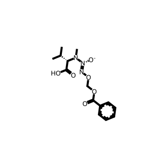 CC(C)[C@@H](C(=O)O)N(C)/[N+]([O-])=N/OCOC(=O)c1ccccc1